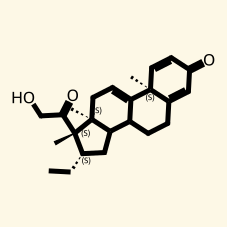 CC[C@H]1CC2C3CCC4=CC(=O)C=C[C@]4(C)C3=CC[C@]2(C)[C@@]1(C)C(=O)CO